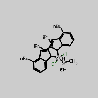 CCCCc1cccc2c1C=C(CC(C)C)[CH]2[Zr]([Cl])([Cl])([CH]1C(CC(C)C)=Cc2c(CCCC)cccc21)[SiH](C)C